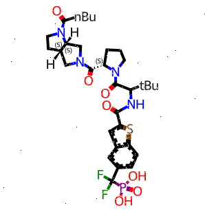 CCCCC(=O)N1CC[C@H]2CN(C(=O)[C@@H]3CCCN3C(=O)C(NC(=O)c3cc4cc(C(F)(F)P(=O)(O)O)ccc4s3)C(C)(C)C)C[C@H]21